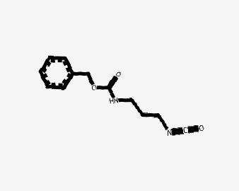 O=C=NCCCNC(=O)OCc1ccccc1